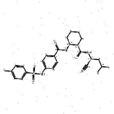 Cc1ccc(S(=O)(=O)Nc2ccc(C(=O)N[C@H]3CCCC[C@H]3C(=O)N[C@H](C#N)CC(C)C)cc2)cc1